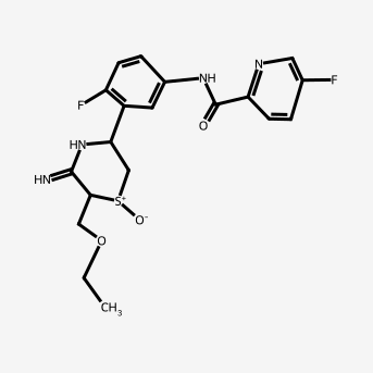 CCOCC1C(=N)NC(c2cc(NC(=O)c3ccc(F)cn3)ccc2F)C[S+]1[O-]